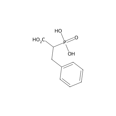 O=C(O)C(Cc1ccccc1)P(=O)(O)O